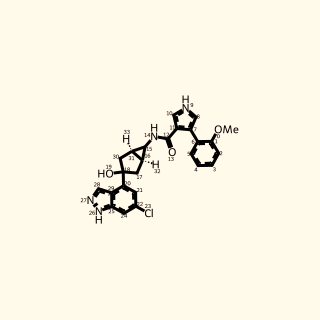 COc1ccccc1-c1c[nH]cc1C(=O)NC1[C@H]2CC(O)(c3cc(Cl)cc4[nH]ncc34)C[C@@H]12